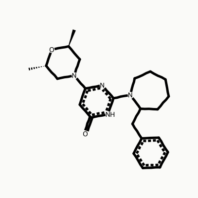 C[C@H]1CN(c2cc(=O)[nH]c(N3CCCCCC3Cc3ccccc3)n2)C[C@H](C)O1